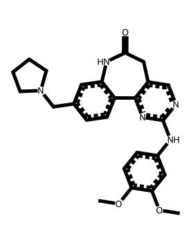 COc1ccc(Nc2ncc3c(n2)-c2ccc(CN4CCCC4)cc2NC(=O)C3)cc1OC